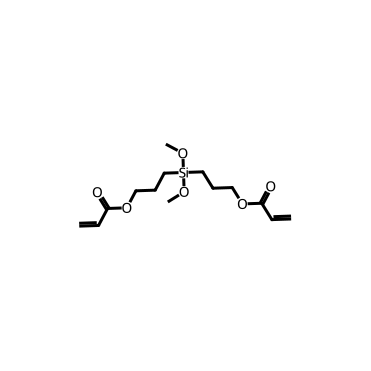 C=CC(=O)OCCC[Si](CCCOC(=O)C=C)(OC)OC